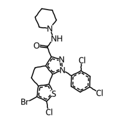 O=C(NN1CCCCC1)c1nn(-c2ccc(Cl)cc2Cl)c2c1CCc1c-2sc(Cl)c1Br